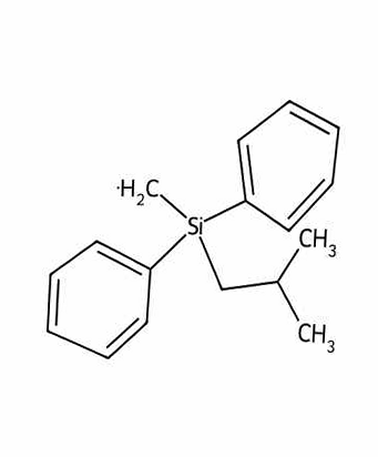 [CH2][Si](CC(C)C)(c1ccccc1)c1ccccc1